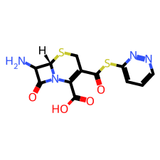 NC1C(=O)N2C(C(=O)O)=C(C(=O)Sc3cccnn3)CS[C@@H]12